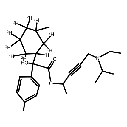 [2H]C1([2H])C([2H])([2H])C([2H])(C)C([2H])([2H])C([2H])(C(O)(C(=O)OC(C)C#CCN(CC)C(C)C)c2ccc(C)cc2)C1([2H])[2H]